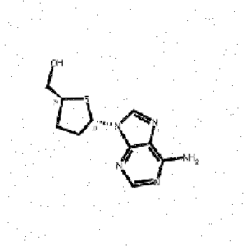 Nc1ncnc2c1ncn2[C@@H]1CC[C@@H](CO)S1